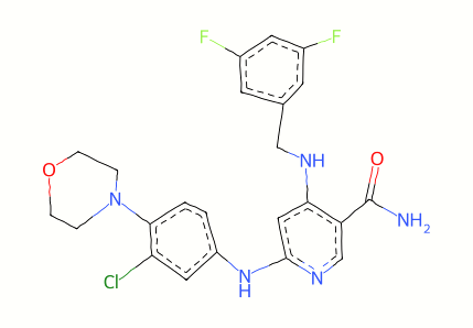 NC(=O)c1cnc(Nc2ccc(N3CCOCC3)c(Cl)c2)cc1NCc1cc(F)cc(F)c1